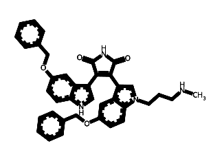 CNCCCn1cc(C2=C(c3c[nH]c4ccc(OCc5ccccc5)cc34)C(=O)NC2=O)c2cc(OCc3ccccc3)ccc21